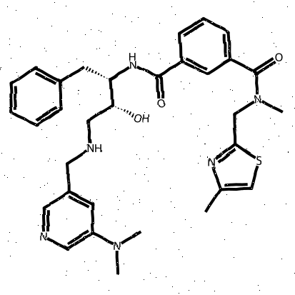 Cc1csc(CN(C)C(=O)c2cccc(C(=O)N[C@@H](Cc3ccccc3)[C@H](O)CNCc3cncc(N(C)C)c3)c2)n1